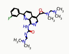 CN(C)/C=N/C(=O)Nc1ncc(C2OC2N(C)CN(C)C)c2ccc(-c3cccc(F)c3)nc12